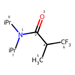 CC(C)N(C(=O)C(C)C(F)(F)F)C(C)C